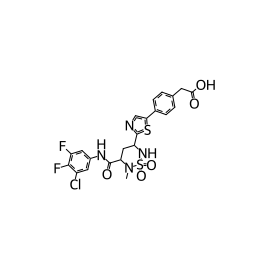 CN1C(C(=O)Nc2cc(F)c(F)c(Cl)c2)CC(c2ncc(-c3ccc(CC(=O)O)cc3)s2)NS1(=O)=O